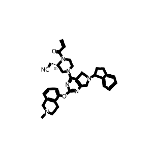 C=CC(=O)N1CCN(c2nc(Oc3cccc4c3CCN(C)C4)nc3c2CN(C2CCc4ccccc42)C3)C[C@@H]1CC#N